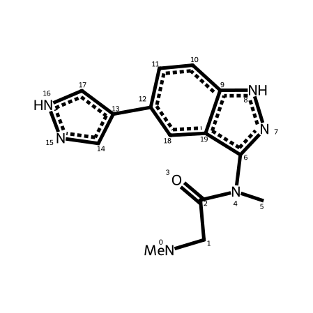 CNCC(=O)N(C)c1n[nH]c2ccc(-c3cn[nH]c3)cc12